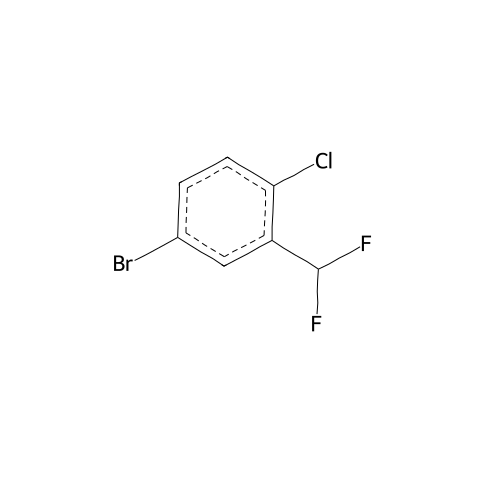 FC(F)c1cc(Br)ccc1Cl